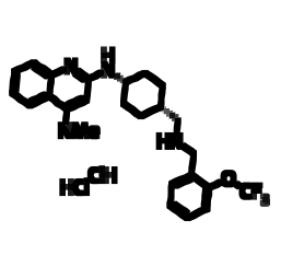 CNc1cc(N[C@H]2CC[C@@H](CNCc3ccccc3OC(F)(F)F)CC2)nc2ccccc12.Cl.Cl